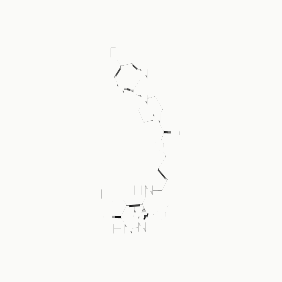 COC[C@@H](/C=C/COC(=O)N1CCN(c2ncc(F)cn2)CC1)Nc1cn[nH]c(=O)c1C(F)(F)F